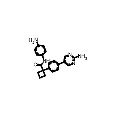 Nc1ccc(NC(=O)C2(c3ccc(-c4cnc(N)nc4)cc3)CCC2)cc1